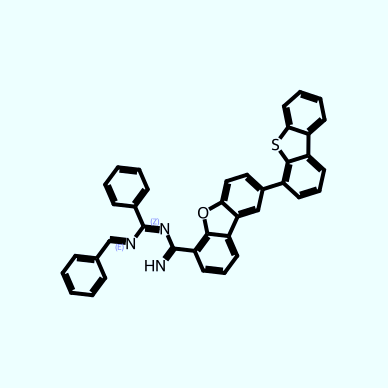 N=C(/N=C(\N=C\c1ccccc1)c1ccccc1)c1cccc2c1oc1ccc(-c3cccc4c3sc3ccccc34)cc12